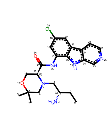 CC[C@H](N)CN1CC(C)(C)OC[C@H]1C(=O)Nc1cc(Cl)cc2c1[nH]c1cnccc12